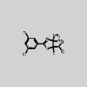 CC1(C)N=C(c2cc(Cl)cc(Cl)c2)OC1(Cl)C(Cl)Cl